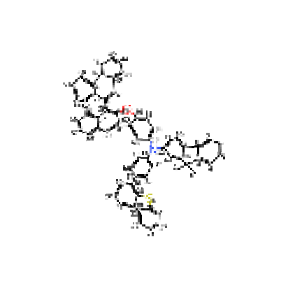 CC1(C)c2ccccc2-c2ccc(N(c3ccc(-c4cccc5c4sc4ccccc45)cc3)c3ccc4oc5c(-c6cc7ccccc7c7ccccc67)c6ccccc6cc5c4c3)cc21